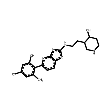 Cc1cc(Cl)cc(O)c1-c1ccc2oc(NCCC3CNCCC3O)nc2n1